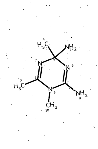 CC1=NC(C)(N)N=C(N)N1C